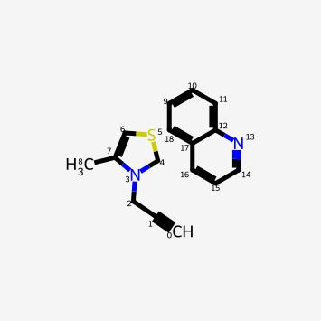 C#CCN1CSC=C1C.c1ccc2ncccc2c1